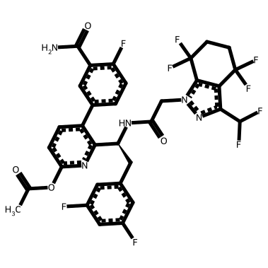 CC(=O)Oc1ccc(-c2ccc(F)c(C(N)=O)c2)c([C@H](Cc2cc(F)cc(F)c2)NC(=O)Cn2nc(C(F)F)c3c2C(F)(F)CCC3(F)F)n1